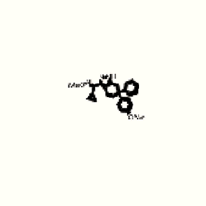 CO/N=C(/c1n[nH]c2c1C=CC(c1ccccc1)(c1ccc(OC)cc1)C2)C1CC1